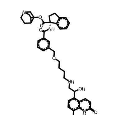 O=C(N[C@]1(C(=O)OC2CN3CCC2CC3)CCc2ccccc21)c1cccc(COCCCCNCC(O)c2ccc(O)c3[nH]c(=O)ccc23)c1